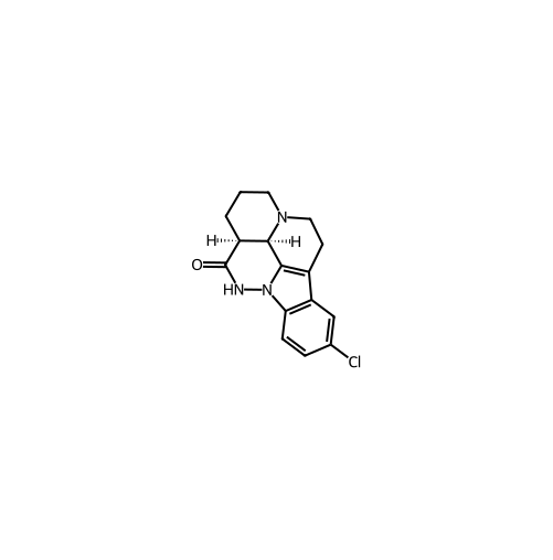 O=C1Nn2c3c(c4cc(Cl)ccc42)CCN2CCC[C@H]1[C@H]32